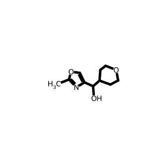 Cc1nc(C(O)C2CCOCC2)co1